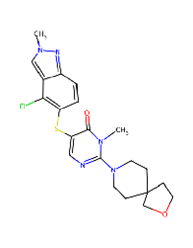 Cn1cc2c(Cl)c(Sc3cnc(N4CCC5(CCOC5)CC4)n(C)c3=O)ccc2n1